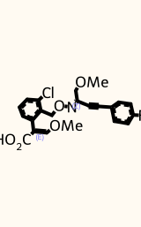 CO/C=C(/C(=O)O)c1cccc(Cl)c1CO/N=C(/C#Cc1ccc(F)cc1)COC